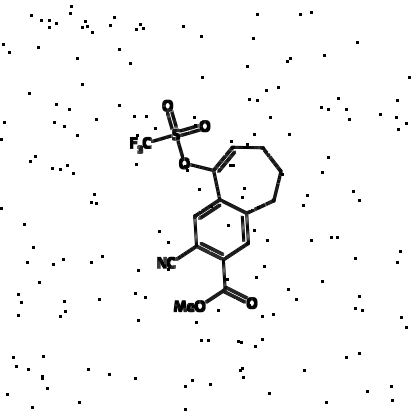 COC(=O)c1cc2c(cc1C#N)C(OS(=O)(=O)C(F)(F)F)=CCCC2